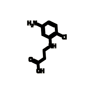 Nc1ccc(Cl)c(NCCC(=O)O)c1